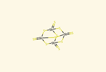 [S]=[Sb]12[S][Sb]3(=[S])[S][Sb](=[S])([S]1)[S][Sb](=[S])([S]2)[S]3